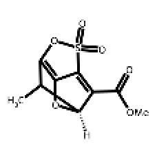 COC(=O)C1=C2C3=C(OS2(=O)=O)C(C)[C@@H]1O3